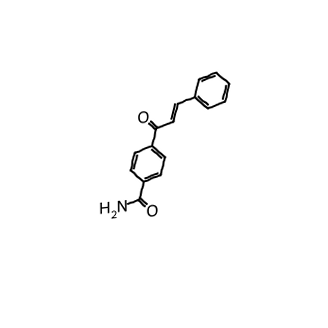 NC(=O)c1ccc(C(=O)C=Cc2ccccc2)cc1